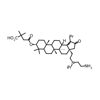 CC(C)C1=C2[C@H]3CCC4[C@@]5(C)CC[C@H](OC(=O)CC(C)(C)C(=O)O)C(C)(C)C5CC[C@@]4(C)[C@]3(C)CC[C@@]2(CCN(CCN)C(C)C)CC1=O